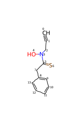 C#CCN(O)C(=S)Cc1ccccc1